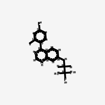 Cc1cc(F)ccc1-c1ncnc2cc(CC(C)(C)C(F)(F)F)ccc12